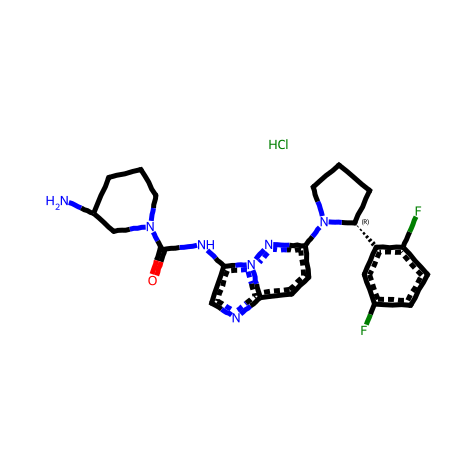 Cl.NC1CCCN(C(=O)Nc2cnc3ccc(N4CCC[C@@H]4c4cc(F)ccc4F)nn23)C1